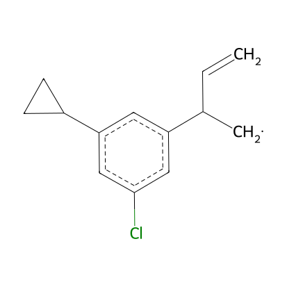 [CH2]C(C=C)c1cc(Cl)cc(C2CC2)c1